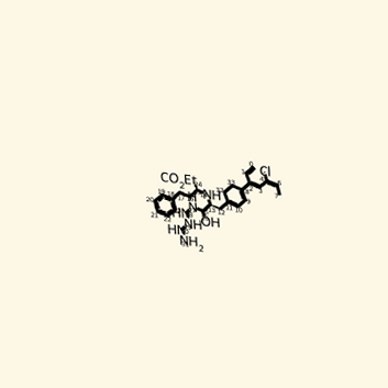 C=C/C(=C\C(Cl)=C/C)C1=CC=C(C[C@H](N[C@@H](CCc2ccccc2)C(=O)OCC)C(O)NNNNN)CC1